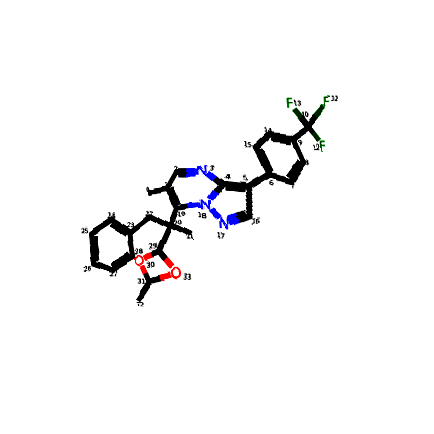 Cc1cnc2c(-c3ccc(C(F)(F)F)cc3)cnn2c1C(C)(Cc1ccccc1)C1OC(C)O1